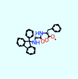 COC(=O)[C@H](Cc1ccccc1)NC(=O)[C@@H](C)NC1(c2ccccc2)c2ccccc2-c2ccccc21